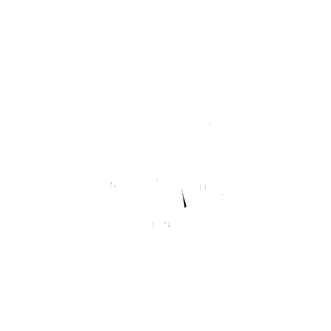 CC1=C(C)C[C@@H](CN)[C@H](CN)C1.Cl.Cl